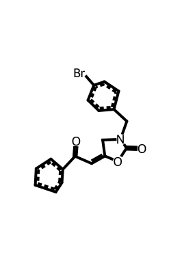 O=C(/C=C1\CN(Cc2ccc(Br)cc2)C(=O)O1)c1ccccc1